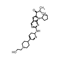 CN(C)C(=O)c1cc2cnc(NC3CC=C(C4CCN(CCO)CC4)C=N3)nc2n1C1CCCC1